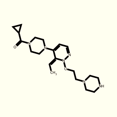 C/C=C1/C(N2CCN(C(=O)C3CC3)CC2)=CC=NN1OCCN1CCNCC1